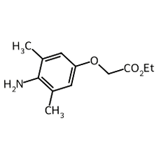 CCOC(=O)COc1cc(C)c(N)c(C)c1